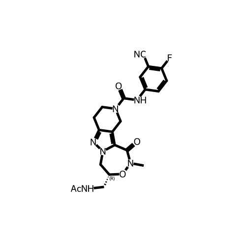 CC(=O)NC[C@@H]1Cn2nc3c(c2C(=O)N(C)O1)CN(C(=O)Nc1ccc(F)c(C#N)c1)CC3